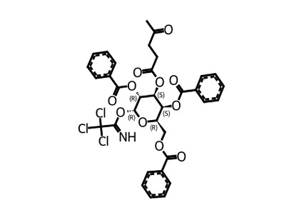 CC(=O)CCC(=O)O[C@H]1[C@@H](OC(=O)c2ccccc2)[C@@H](COC(=O)c2ccccc2)O[C@H](OC(=N)C(Cl)(Cl)Cl)[C@@H]1OC(=O)c1ccccc1